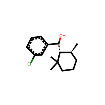 C[C@H]1CCCC(C)(C)[C@@H]1C(O)c1cccc(Cl)c1